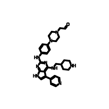 O=CCN1CCN(c2ccc(Nc3nc(NCC4CCNCC4)c4c(-c5ccncc5)c[nH]c4n3)cc2)CC1